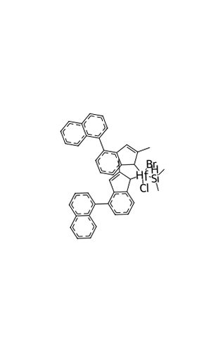 CC1=Cc2c(-c3cccc4ccccc34)cccc2[CH]1[Hf]([Cl])([Br])([CH]1C(C)=Cc2c(-c3cccc4ccccc34)cccc21)[SiH](C)C